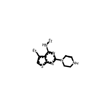 CCNc1nc(N2CCNCC2)nc2scc(CC)c12